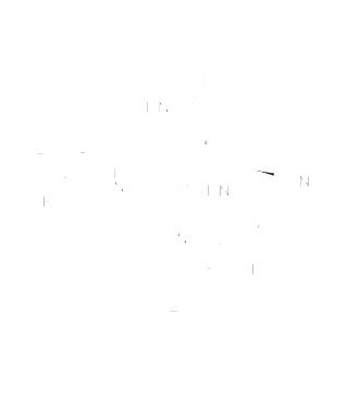 CC1(C)[C@@H]2[C@@H](C(=O)N[C@H](C#N)C[C@@H]3CC4(CC4)NC3=O)N(C(=O)c3ccc(C(F)(F)F)[nH]3)C[C@@H]21